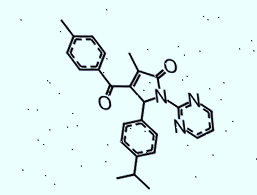 CC1=C(C(=O)c2ccc(C)cc2)C(c2ccc(C(C)C)cc2)N(c2ncccn2)C1=O